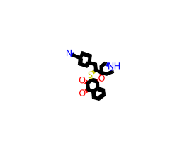 N#Cc1ccc(CC2SC3=C(OC24CCNCC4)c2ccccc2C(=O)C3=O)cc1